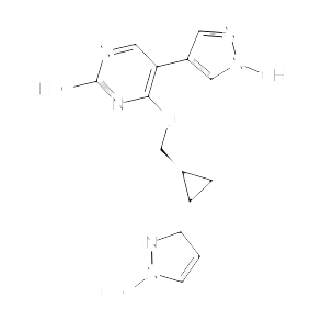 Cc1ncc(-c2cnn(C)c2)c(OC[C@H]2C[C@@H]2C2C=CN(C)N2)n1